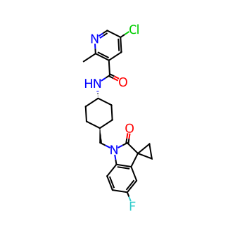 Cc1ncc(Cl)cc1C(=O)N[C@H]1CC[C@H](CN2C(=O)C3(CC3)c3cc(F)ccc32)CC1